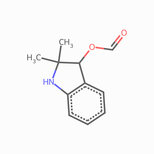 CC1(C)Nc2ccccc2C1OC=O